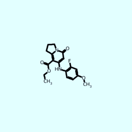 CCOC(=O)c1c(Nc2ccc(OC)cc2F)cc(=O)n2c1CCC2